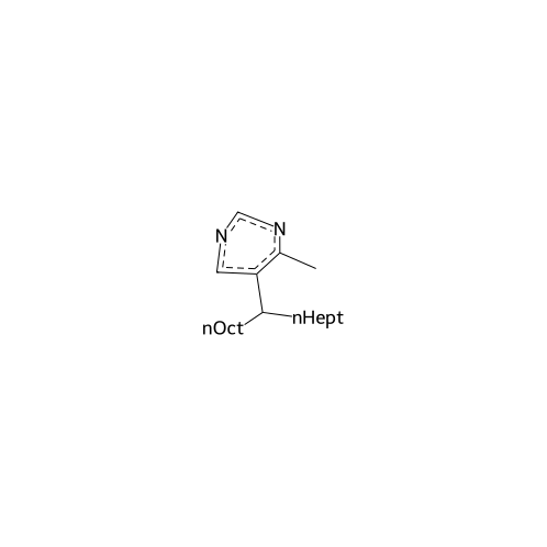 CCCCCCCCC(CCCCCCC)c1cncnc1C